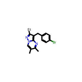 CCc1nn2cc(C)c(C)nc2c1Cc1ccc(Br)cc1